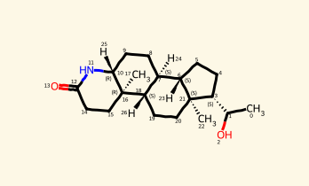 CC(O)[C@H]1CC[C@H]2[C@@H]3CC[C@H]4NC(=O)CC[C@]4(C)[C@H]3CC[C@]12C